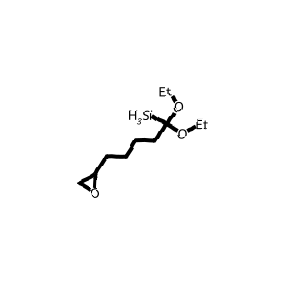 CCOC([SiH3])(CCCCC1CO1)OCC